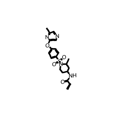 C=CC(=O)NC1CCN(S(=O)(=O)c2ccc(Oc3cncc(C)n3)cc2)C(C)C1